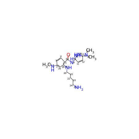 CNc1ccc(C(=O)NC(=N)/C=C\C(=N)N(C)C)c(NCCCCCN)c1